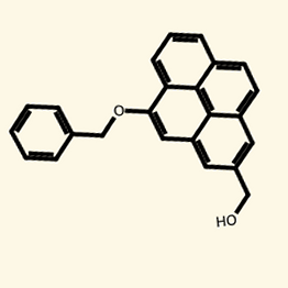 OCc1cc2ccc3cccc4c(OCc5ccccc5)cc(c1)c2c34